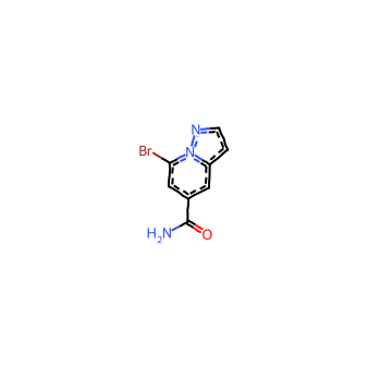 NC(=O)c1cc(Br)n2nccc2c1